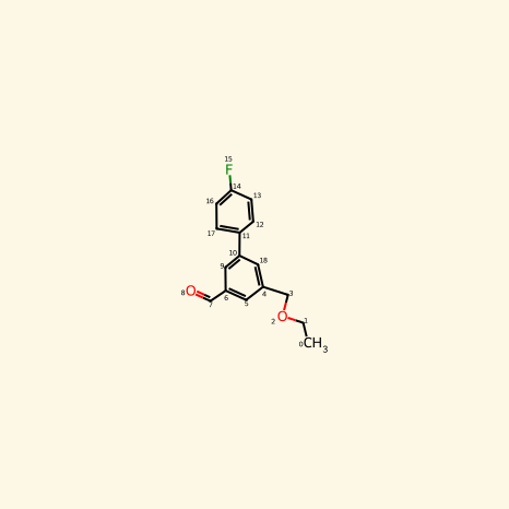 CCOCc1cc(C=O)cc(-c2ccc(F)cc2)c1